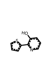 Oc1cccnc1-c1cccs1